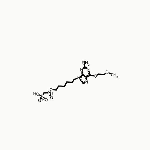 COCCOc1nc(N)nc2c1ncn2CCCCCCO[PH](=O)CP(=O)(O)O